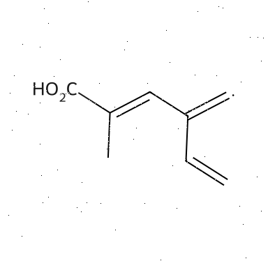 [CH]=C(C=C)C=C(C)C(=O)O